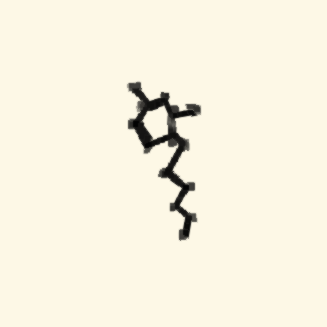 CCCCC[CH]c1ccc(C)cc1C